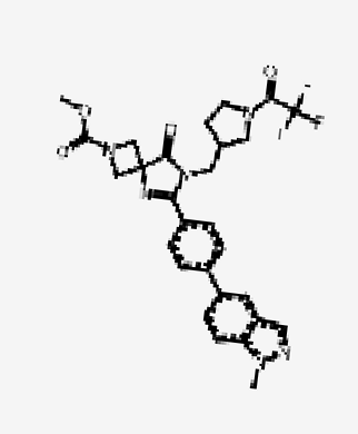 COC(=O)N1CC2(C1)N=C(c1ccc(-c3ccc4c(cnn4C)c3)cc1)N(CC1CCN(C(=O)C(F)(F)F)C1)C2=O